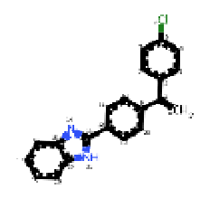 C=C(c1ccc(Cl)cc1)c1ccc(-c2nc3ccccc3[nH]2)cc1